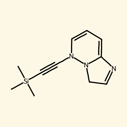 C[Si](C)(C)C#CN1C=CC=C2N=CCN21